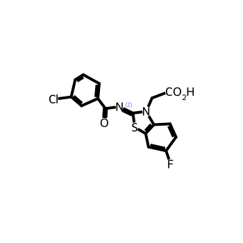 O=C(O)Cn1/c(=N/C(=O)c2cccc(Cl)c2)sc2cc(F)ccc21